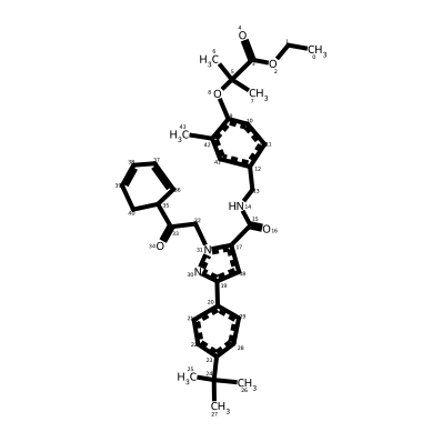 CCOC(=O)C(C)(C)Oc1ccc(CNC(=O)c2cc(-c3ccc(C(C)(C)C)cc3)nn2CC(=O)C2C=CC=CC2)cc1C